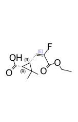 CCOC(=O)/C(F)=C\[C@H]1[C@@H](C(=O)O)C1(C)C